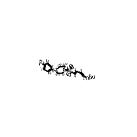 CCCCC#CC=CS(=O)(=O)N1CCN(c2ccc(F)cc2)CC1